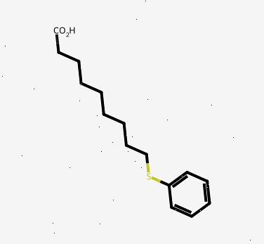 O=C(O)CCCCCCCCSc1ccccc1